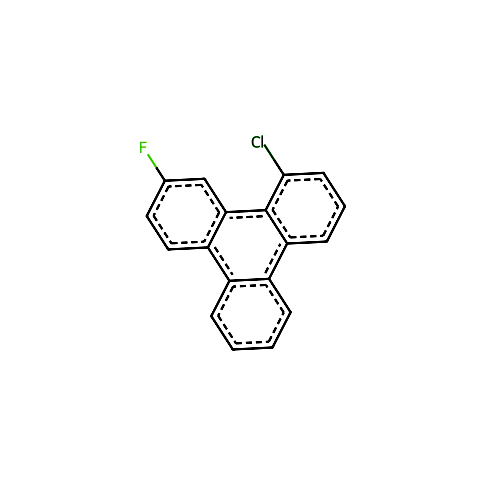 Fc1ccc2c3ccccc3c3cccc(Cl)c3c2c1